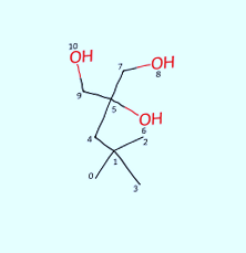 CC(C)(C)CC(O)(CO)CO